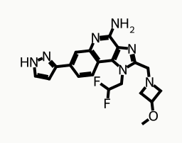 COC1CN(Cc2nc3c(N)nc4cc(-c5cc[nH]n5)ccc4c3n2CC(F)F)C1